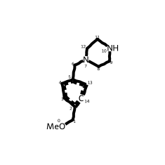 COCc1ccc(CN2CCNCC2)cc1